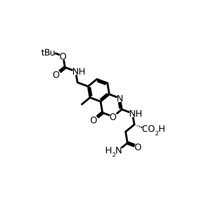 Cc1c(CNC(=O)OC(C)(C)C)ccc2nc(N[C@@H](CC(N)=O)C(=O)O)oc(=O)c12